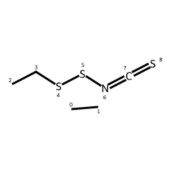 CC.CCSSN=C=S